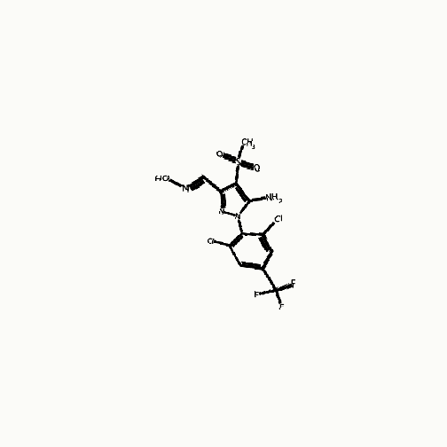 CS(=O)(=O)c1c(C=NO)nn(-c2c(Cl)cc(C(F)(F)F)cc2Cl)c1N